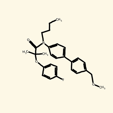 CCCCN(C(=O)C(C)(C)Oc1ccc(F)cc1)c1ccc(-c2ccc(COC)cc2)cc1